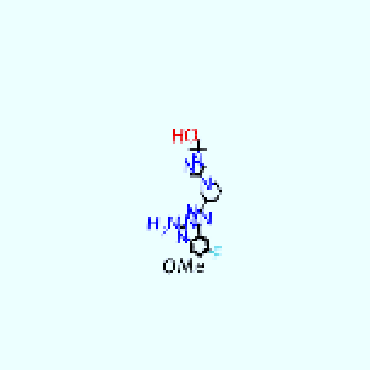 COc1cc2nc(N)n3nc([C@@H]4CCCN(c5cnn(C(C)(C)CO)c5)C4)nc3c2cc1F